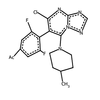 CC(=O)c1cc(F)c(-c2c(Cl)nc3ncnn3c2N2CCC(C)CC2)c(F)c1